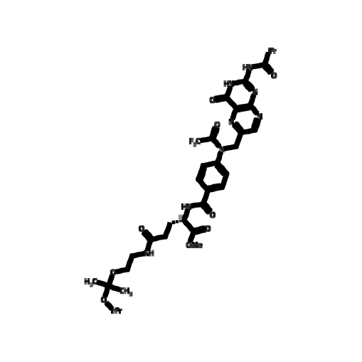 CCCOC(C)(C)OCCNC(=O)CC[C@H](NC(=O)c1ccc(N(Cc2cnc3nc(NC(=O)C(C)C)[nH]c(=O)c3n2)C(=O)C(F)(F)F)cc1)C(=O)OC